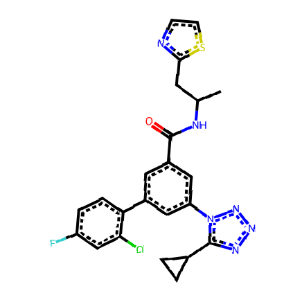 CC(Cc1nccs1)NC(=O)c1cc(-c2ccc(F)cc2Cl)cc(-n2nnnc2C2CC2)c1